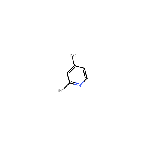 [C-]#[N+]c1ccnc(C(C)C)c1